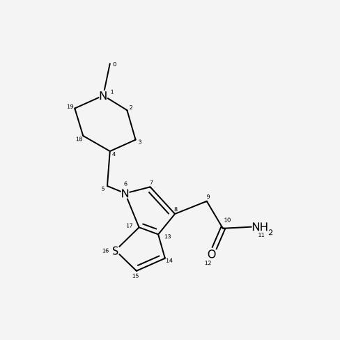 CN1CCC(Cn2cc(CC(N)=O)c3ccsc32)CC1